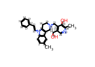 Cc1ccc2c(c1)c1c(n2C=Cc2ccccc2)CCN(Cc2c(CO)cnc(C)c2O)C1